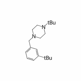 CC(C)(C)c1cccc(CN2CCN(C(C)(C)C)CC2)c1